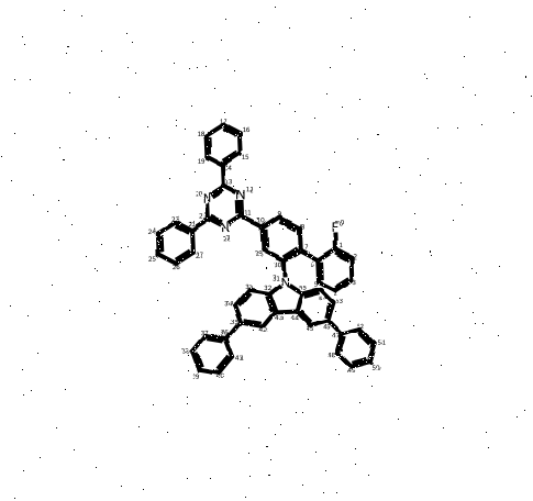 Fc1ccccc1-c1ccc(-c2nc(-c3ccccc3)nc(-c3ccccc3)n2)cc1-n1c2ccc(-c3ccccc3)cc2c2cc(-c3ccccc3)ccc21